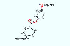 CCCCCCCCCOc1ccc(OC(=O)[C@H]2CC[C@H](CCCCCCC)CC2)cc1